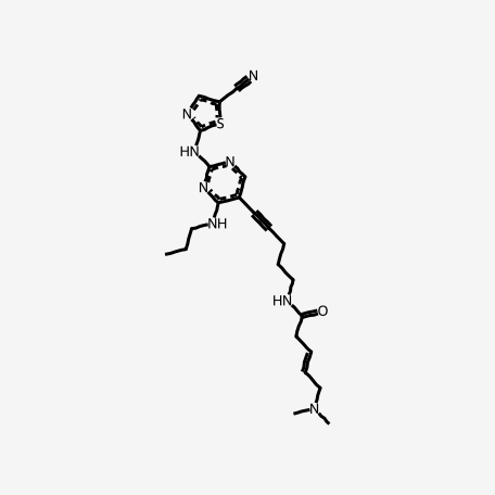 CCCNc1nc(Nc2ncc(C#N)s2)ncc1C#CCCCNC(=O)C/C=C/CN(C)C